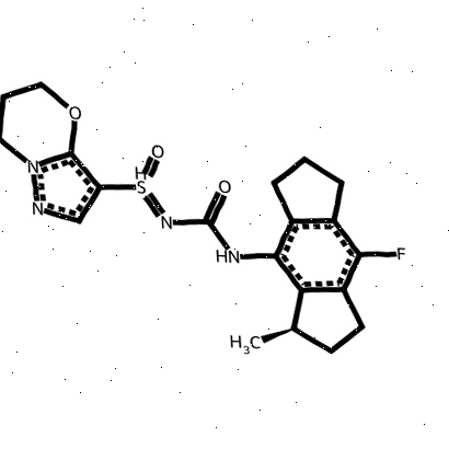 C[C@@H]1CCc2c(F)c3c(c(NC(=O)N=[SH](=O)c4cnn5c4OCCC5)c21)CCC3